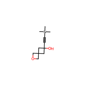 C[Si](C)(C)C#CC1(O)CC2(COC2)C1